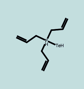 C=CC[PH]([TeH])(CC=C)CC=C